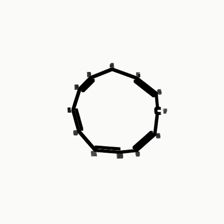 C1=CC=CCC=CCC=CC=C1